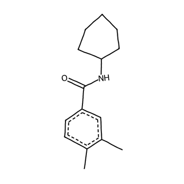 Cc1ccc(C(=O)NC2CCCCC2)cc1C